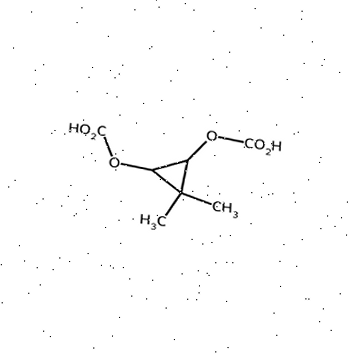 CC1(C)C(OC(=O)O)C1OC(=O)O